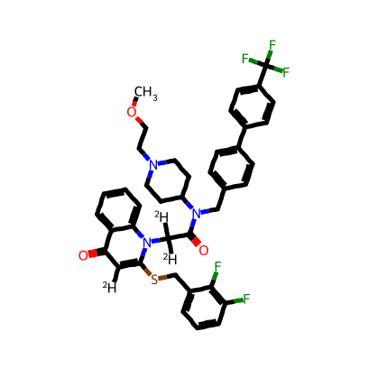 [2H]c1c(SCc2cccc(F)c2F)n(C([2H])([2H])C(=O)N(Cc2ccc(-c3ccc(C(F)(F)F)cc3)cc2)C2CCN(CCOC)CC2)c2ccccc2c1=O